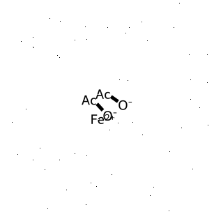 [CH2]C(=O)[O-].[CH2]C(=O)[O-].[Fe+2]